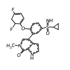 Cn1cc(-c2cc(S(=N)(=O)C3CC3)ccc2OC2=CC=C(F)CC2F)c2cc[nH]c2c1=O